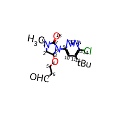 CN1CC(OCCC=O)N(c2cc(C(C)(C)C)c(Cl)nn2)C1=O